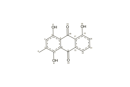 Cc1cc(O)c2c(c1O)C(=O)c1cccc(O)c1C2=O